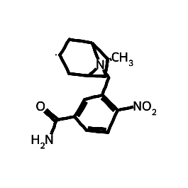 C[N+]1(Cc2cc(C(N)=O)ccc2[N+](=O)[O-])C2C[CH]CC1CC2